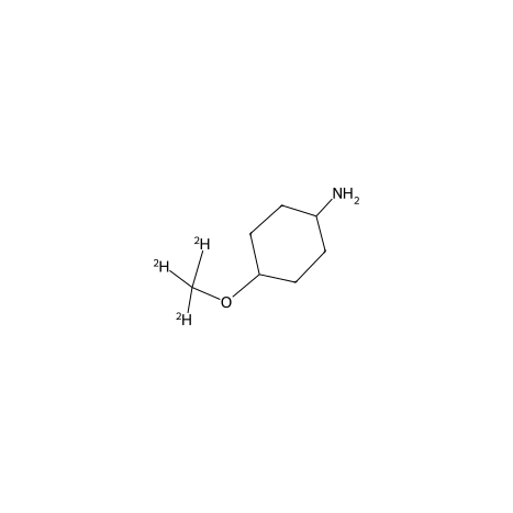 [2H]C([2H])([2H])OC1CCC(N)CC1